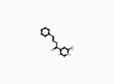 O=C([CH]/C=C/c1ccccc1)c1ccnc(Cl)c1